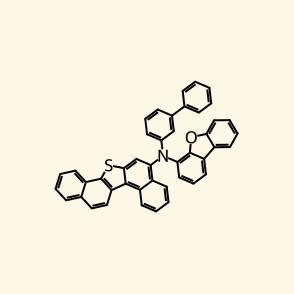 c1ccc(-c2cccc(N(c3cc4sc5c6ccccc6ccc5c4c4ccccc34)c3cccc4c3oc3ccccc34)c2)cc1